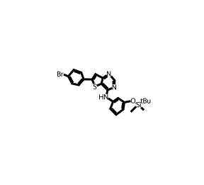 CC(C)(C)[Si](C)(C)Oc1cccc(Nc2ncnc3cc(-c4ccc(Br)cc4)sc23)c1